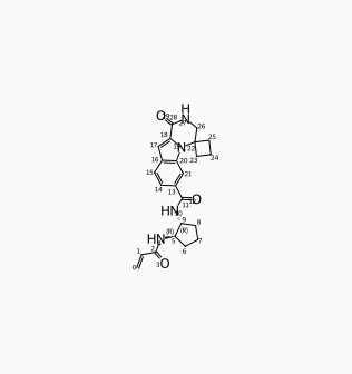 C=CC(=O)N[C@@H]1CCC[C@H]1NC(=O)c1ccc2cc3n(c2c1)C1(CCC1)CNC3=O